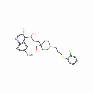 COc1ccc2ncc(Cl)c(C(O)CCC3(CO)CCN(CCCSc4ccccc4Cl)CC3)c2c1